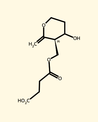 C=C1OCCC(O)[C@H]1COC(=O)CCC(=O)O